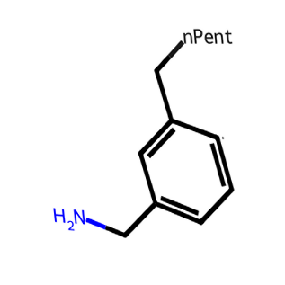 CCCCCCc1[c]ccc(CN)c1